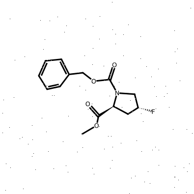 COC(=O)[C@@H]1C[C@@H](F)CN1C(=O)OCc1ccccc1